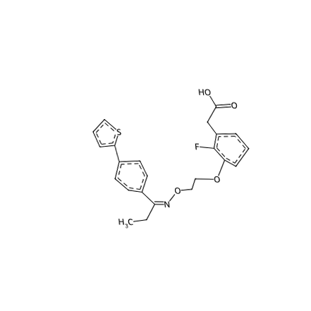 CCC(=NOCCOc1cccc(CC(=O)O)c1F)c1ccc(-c2cccs2)cc1